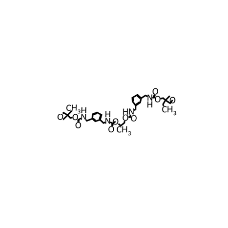 CCC1(COC(=O)NCc2cccc(CNC(=O)OCC(C)OC(=O)NCc3cccc(CNC(=O)OCC4(CC)COC4)c3)c2)COC1